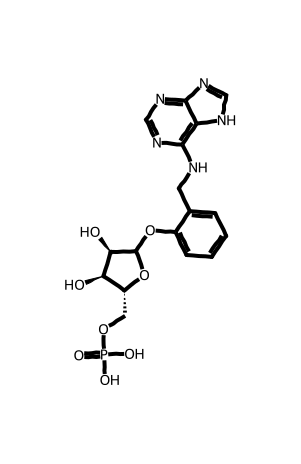 O=P(O)(O)OC[C@H]1OC(Oc2ccccc2CNc2ncnc3nc[nH]c23)[C@H](O)[C@@H]1O